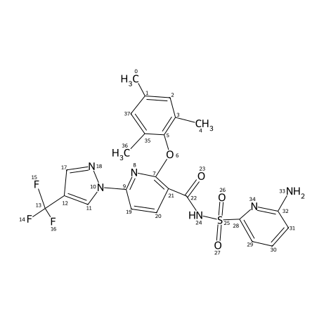 Cc1cc(C)c(Oc2nc(-n3cc(C(F)(F)F)cn3)ccc2C(=O)NS(=O)(=O)c2cccc(N)n2)c(C)c1